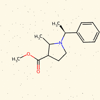 COC(=O)C1CCN([C@@H](C)c2ccccc2)C1C